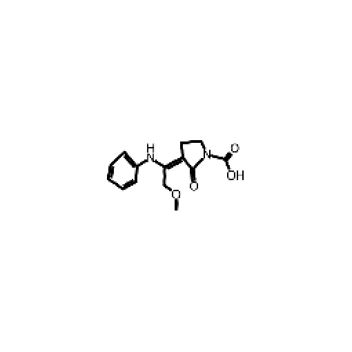 COCC(Nc1ccccc1)=C1CCN(C(=O)O)C1=O